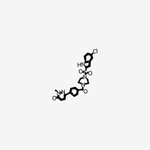 Cn1nc(-c2ccc(C(=O)N3CCN(S(=O)(=O)c4cc5cc(Cl)ccc5[nH]4)CC3)cc2)ccc1=O